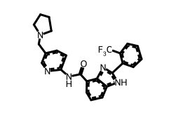 O=C(Nc1ccc(CN2CCCC2)cn1)c1cccc2[nH]c(-c3ccccc3C(F)(F)F)nc12